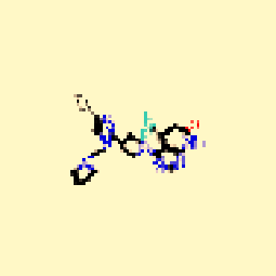 CCc1cn(CCN2CCCC2)c(C2CCN(c3ncnc4c3[C@H](C(F)F)CC(=O)N4)CC2)n1